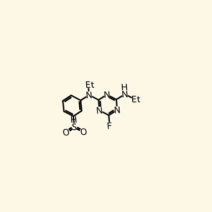 CCNc1nc(F)nc(N(CC)c2cccc([SH](=O)=O)c2)n1